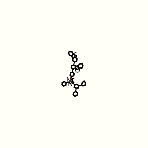 c1ccc(-c2cc(-c3ccccc3)cc(-c3cc(-c4ccc(-c5ccc(-c6ccc7sc8ccccc8c7c6)c6c5oc5ccccc56)cc4)nc(-c4ccccc4)n3)c2)cc1